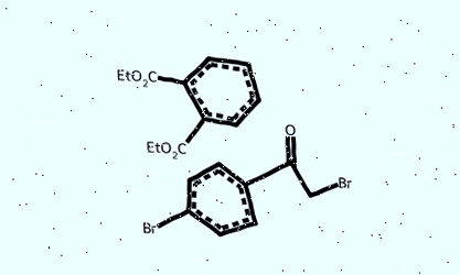 CCOC(=O)c1ccccc1C(=O)OCC.O=C(CBr)c1ccc(Br)cc1